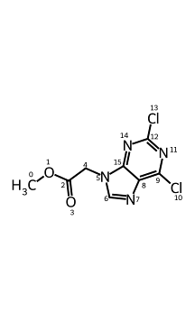 COC(=O)Cn1cnc2c(Cl)nc(Cl)nc21